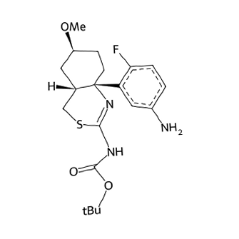 CO[C@H]1CC[C@]2(c3cc(N)ccc3F)N=C(NC(=O)OC(C)(C)C)SC[C@@H]2C1